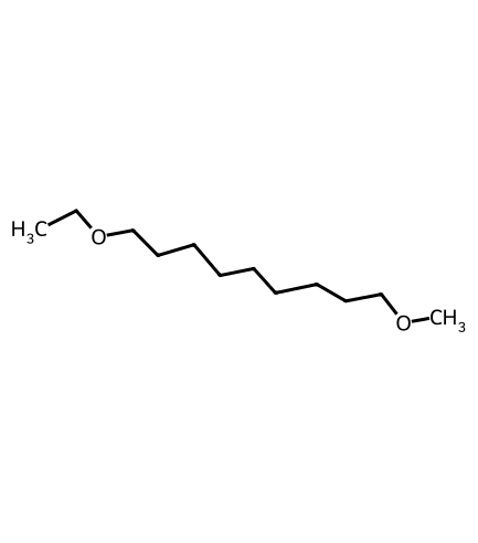 CCOCCCCCCCCCOC